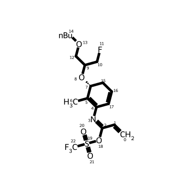 C=C/C(=N\C1=C(C)[C@H](OC(CF)COCCCC)CC=C1)OS(=O)(=O)C(F)(F)F